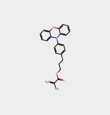 C=C(C)C(=O)OCCCc1ccc(N2c3ccccc3Oc3ccccc32)cc1